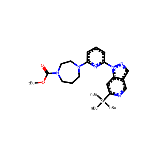 CCC[CH2][Sn]([CH2]CCC)([CH2]CCC)[c]1cc2c(cn1)cnn2-c1cccc(N2CCCN(C(=O)OC(C)(C)C)CC2)n1